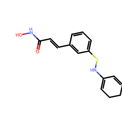 O=C(/C=C/c1cccc(SNC2=CCCC=C2)c1)NO